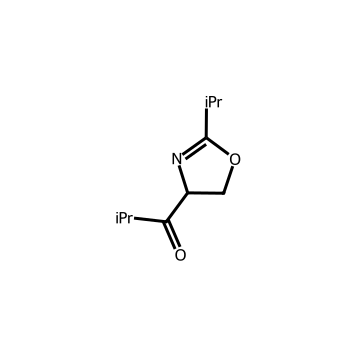 CC(C)C(=O)C1COC(C(C)C)=N1